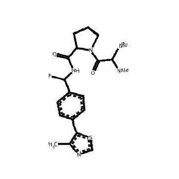 CNC(C(=O)N1CCCC1C(=O)NC(F)c1ccc(-c2scnc2C)cc1)C(C)(C)C